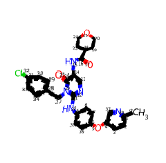 Cc1ccc(Oc2ccc(Nc3ncc(NC(=O)C4CCOCC4)c(=O)n3Cc3ccc(Cl)cc3)cc2)cn1